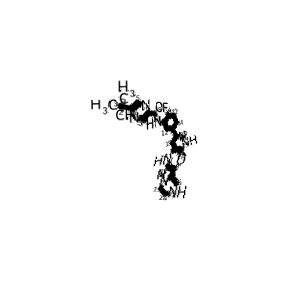 CC(C)(C)c1cnc(C(=O)Nc2cc(-c3cc(Nc4cc5n(n4)CCNC5)c(=O)[nH]n3)ccc2F)cn1